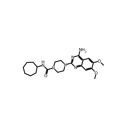 COc1cc2nc(N3CCN(C(=O)NC4CCCCCC4)CC3)nc(N)c2cc1OC